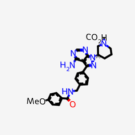 COc1ccc(C(=O)NCc2ccc(-c3nn([C@@H]4CCCN(C(=O)O)C4)c4ncnc(N)c34)cc2)cc1